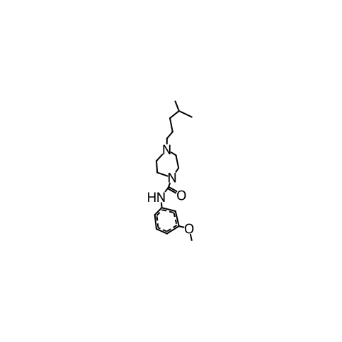 COc1cccc(NC(=O)N2CCN(CCCC(C)C)CC2)c1